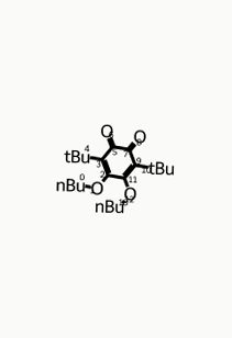 CCCCOC1=C(C(C)(C)C)C(=O)C(=O)C(C(C)(C)C)=C1OCCCC